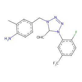 Cc1cc(CN2N=NN(c3cc(C(F)(F)F)ccc3F)C2C=O)ccc1N